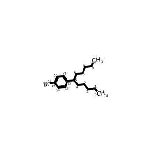 CCCCCC(CCCCC)c1ccc(Br)cc1